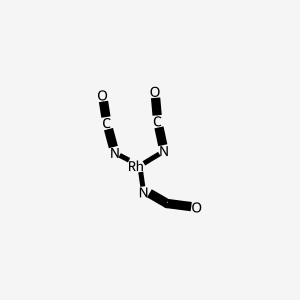 O=C=[N][Rh]([N]=C=O)[N]=C=O